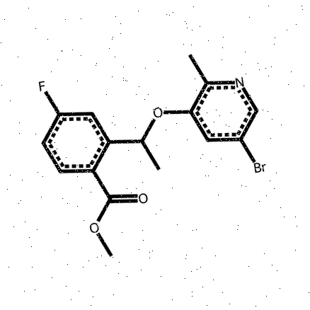 COC(=O)c1ccc(F)cc1C(C)Oc1cc(Br)cnc1C